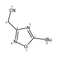 CC(C)(C)c1nc(CC#N)no1